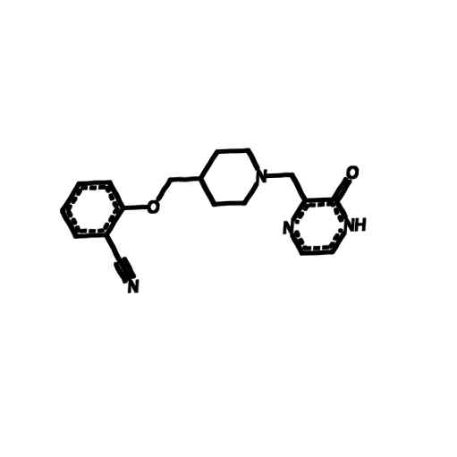 N#Cc1ccccc1OCC1CCN(Cc2ncc[nH]c2=O)CC1